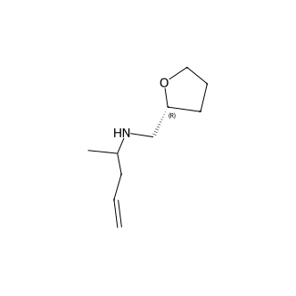 C=CCC(C)NC[C@H]1CCCO1